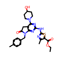 CCOC(=O)c1sc(Nc2nc(N3CCC(O)CC3)c3c(n2)N(Cc2ccc(C)cc2)C(=O)C3)nc1C